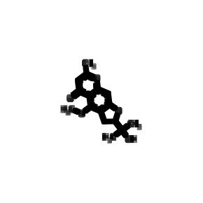 COc1c2c(cc3oc(C)cc(=O)c13)OC(C(C)(C)O)C2